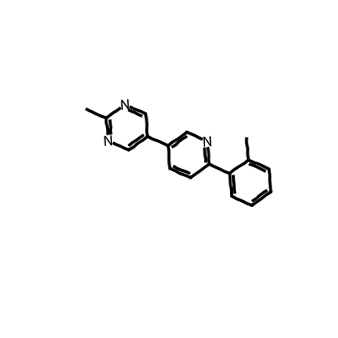 Cc1ncc(-c2ccc(-c3ccccc3C)nc2)cn1